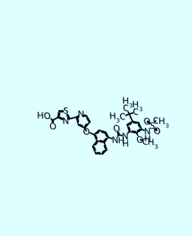 COc1c(NC(=O)Nc2ccc(Oc3ccnc(-c4nc(C(=O)O)cs4)c3)c3ccccc23)cc(C(C)(C)C)cc1NS(C)(=O)=O